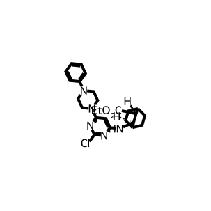 CCOC(=O)[C@@H]1C2CCC(CC2)[C@H]1Nc1cc(N2CCN(c3ccccc3)CC2)nc(Cl)n1